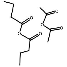 CC(=O)OC(C)=O.CCCC(=O)OC(=O)CCC